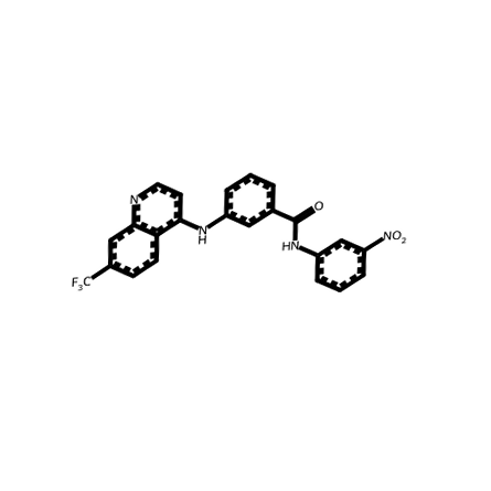 O=C(Nc1cccc([N+](=O)[O-])c1)c1cccc(Nc2ccnc3cc(C(F)(F)F)ccc23)c1